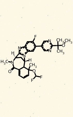 COC(C)(C)c1ncc(-c2cc3c(cc2F)nc2n3[C@H]3C[C@H]2N(C)C(=O)C2=CC=CC(C)(OC(F)F)C23)cn1